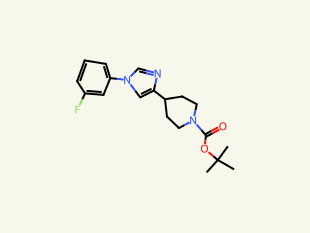 CC(C)(C)OC(=O)N1CCC(c2cn(-c3cccc(F)c3)cn2)CC1